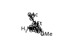 CCN(C(=O)CCCOC(=O)COC(C)=O)[C@H]1CN(CCCOC)S(=O)(=O)c2sc(S(N)(=O)=O)cc21